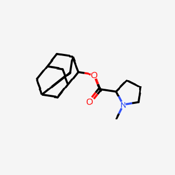 CN1CCCC1C(=O)OC1C2CC3CC(C2)CC1C3